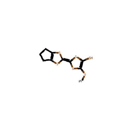 CC(C)SC1=C(S)SC(=C2SC3=C(CCC3)S2)S1